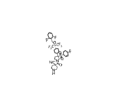 N#CC1(C(=O)N2CCC(c3ccc(C(OCc4c(F)cccc4F)(C(F)(F)F)C(F)(F)F)cc3)(S(=O)(=O)c3ccc(F)cc3)C2)CCNCC1